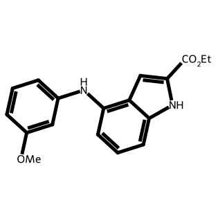 CCOC(=O)c1cc2c(Nc3cccc(OC)c3)cccc2[nH]1